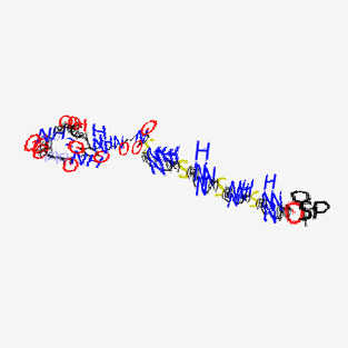 CO[C@H]1/C=C\C=C(/C)C(=O)NC2=CC(=O)C(NCCCNC(=O)CCCN3C(=O)CC(SC[C@H]4CCN5CC[C@H](CSC[C@H]6CCN7CC[C@H](CSC[C@H]8CCN9CC[C@H](CSC[C@H]%10CCN%11CC[C@H](CO[Si](c%12ccccc%12)(c%12ccccc%12)C(C)(C)C)N=C%11N%10)N=C9N8)N=C7N6)N=C5N4)C3=O)=C(C[C@@H](C)C[C@H](OC)[C@H](O)[C@@H](C)/C=C(\C)[C@@H]1OC(N)=O)C2=O